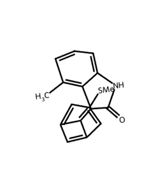 CSc1cc2cc(c1)c2=C1C(=O)Nc2cccc(C)c21